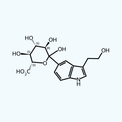 O=C(O)[C@H]1OC(O)(c2ccc3[nH]cc(CCO)c3c2)[C@H](O)[C@@H](O)[C@@H]1O